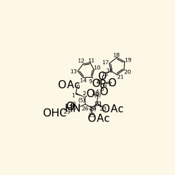 CC(=O)OC[C@H]1O[C@H](OP(=O)(Oc2ccccc2)Oc2ccccc2)[C@@H](OC(C)=O)[C@@H](OC(C)=O)C1NOC=O